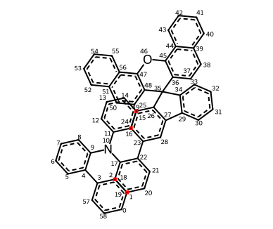 c1ccc(-c2ccccc2N(c2ccccc2)c2ccccc2-c2ccc3c(c2)-c2ccccc2C32c3ccc4ccccc4c3Oc3c2ccc2ccccc32)cc1